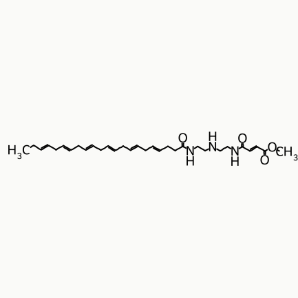 CCC=CCC=CCC=CCC=CCC=CCC=CCCC(=O)NCCNCCNC(=O)C=CC(=O)OC